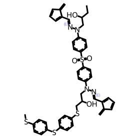 C=C1C=CC=C1/C=N/N(CC(O)CC)c1ccc(S(=O)(=O)c2ccc(N(CC(O)CSc3ccc(Sc4ccc(SC)cc4)cc3)/N=C/C3=CC=CC3=C)cc2)cc1